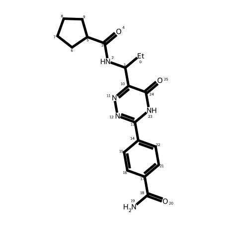 CCC(NC(=O)C1CCCC1)c1nnc(-c2ccc(C(N)=O)cc2)[nH]c1=O